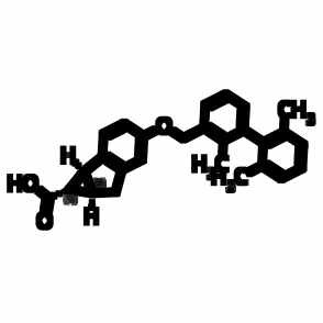 Cc1cccc(C)c1-c1cccc(COc2ccc3c(c2)C[C@H]2[C@H](C(=O)O)[C@@H]32)c1C